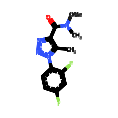 CON(C)C(=O)c1nnn(-c2ccc(F)cc2F)c1C